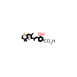 C/C(=C\c1ccc(C(=O)O)cc1O)c1cc2c(cc1C)SCCC2(C)C